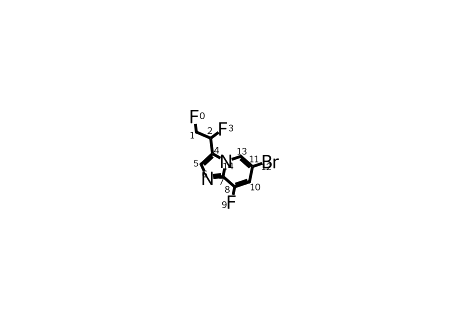 FCC(F)c1cnc2c(F)cc(Br)cn12